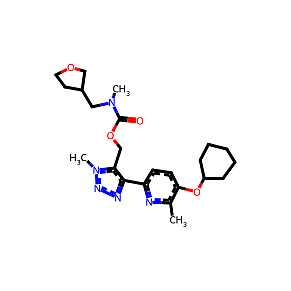 Cc1nc(-c2nnn(C)c2COC(=O)N(C)CC2CCOC2)ccc1OC1CCCCC1